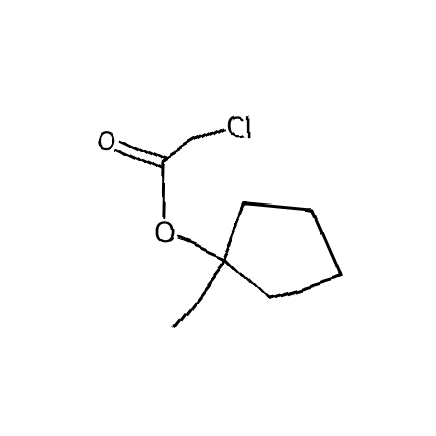 CC1(OC(=O)Cl)CCCC1